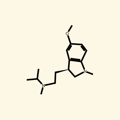 COc1ccc2c(c1)[C@H](CCN(C)C(C)C)CN2C